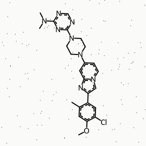 COc1cc(C)c(-c2cn3ccc(N4CCN(c5ncnc(N(C)C)n5)CC4)cc3n2)cc1Cl